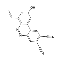 N#Cc1cc2nnc3c(C=O)cc(O)cc3c2cc1C#N